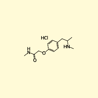 CNC(=O)COc1ccc(CC(C)NC)cc1.Cl